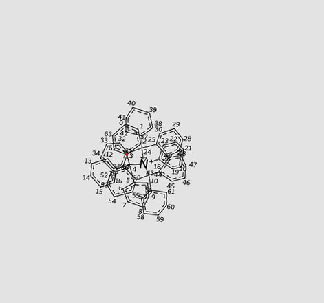 c1ccc(C(c2ccccc2)(c2ccccc2)[N+](c2ccccc2)(C(c2ccccc2)(c2ccccc2)c2ccccc2)C(c2ccccc2)(c2ccccc2)c2ccccc2)cc1